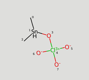 [CH3][SnH]([CH3])[O][Cl+3]([O-])([O-])[O-]